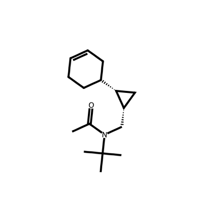 CC(=O)N(C[C@H]1C[C@H]1C1CC=CCC1)C(C)(C)C